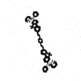 CC1(C)c2cc(/C=C/c3ccc(/C=C/c4ccc5c(c4)C(C)(C)c4cc(N(c6ccccc6)c6ccccn6)ccc4-5)cc3)ccc2-c2ccc(N(c3ccccc3)c3ccccn3)cc21